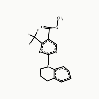 COC(=O)c1cnc(N2CCCc3ccccc32)nc1C(F)(F)F